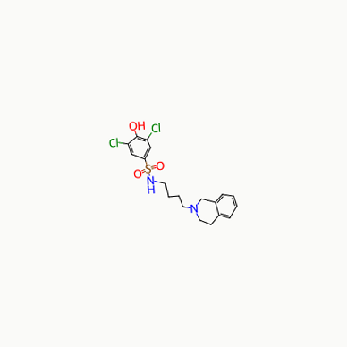 O=S(=O)(NCCCCN1CCc2ccccc2C1)c1cc(Cl)c(O)c(Cl)c1